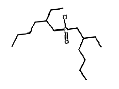 CCCCC(CC)CP(=O)(Cl)CC(CC)CCCC